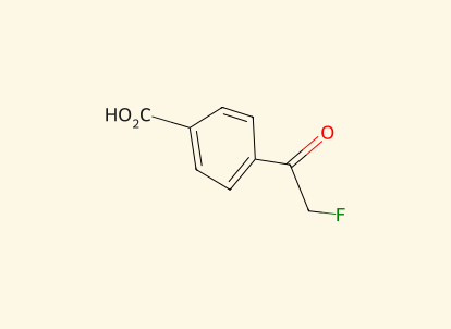 O=C(O)c1ccc(C(=O)CF)cc1